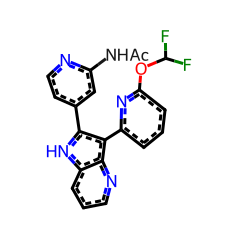 CC(=O)Nc1cc(-c2[nH]c3cccnc3c2-c2cccc(OC(F)F)n2)ccn1